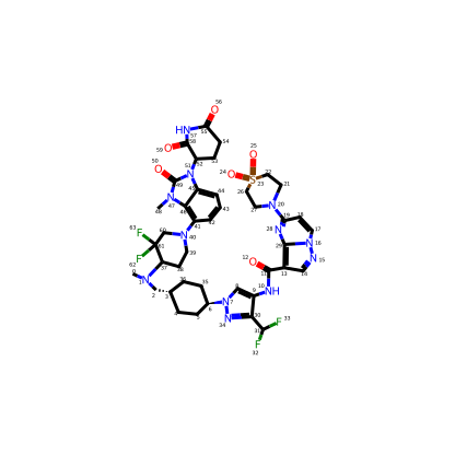 CN(C[C@H]1CC[C@H](n2cc(NC(=O)c3cnn4ccc(N5CCS(=O)(=O)CC5)nc34)c(C(F)F)n2)CC1)C1CCN(c2cccc3c2n(C)c(=O)n3C2CCC(=O)NC2=O)CC1(F)F